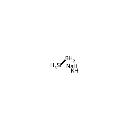 B[SiH3].[KH].[NaH]